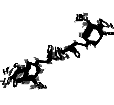 Cc1c(C(C)(C)C)cc(CCC(=O)NNC(=O)CCc2cc(C(C)(C)C)c3c(c2)C(C)(C)O3)cc1C(C)(C)C